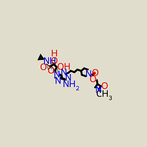 CN1CC(COC(=O)N2CCC(CCCc3nc(N)c4ncn([C@@H]5O[C@H](C(=O)NC6CC6)[C@H](O)C5O)c4n3)CC2)C1=O